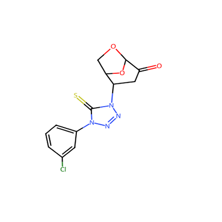 O=C1CC(n2nnn(-c3cccc(Cl)c3)c2=S)C2COC1O2